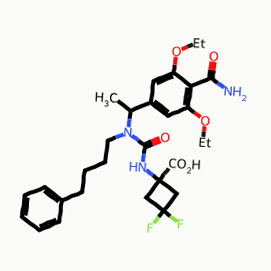 CCOc1cc(C(C)N(CCCCc2ccccc2)C(=O)NC2(C(=O)O)CC(F)(F)C2)cc(OCC)c1C(N)=O